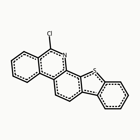 Clc1nc2c(ccc3c4ccccc4sc32)c2ccccc12